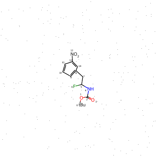 CC(C)(C)OC(=O)NC(F)Cc1cccc([N+](=O)[O-])c1